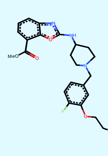 COC(=O)c1cccc2nc(NC3CCN(Cc4ccc(F)c(OCCF)c4)CC3)oc12